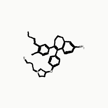 CCCCc1cc(C2=C(c3ccc(OC4CCN(CCCF)C4)cc3)c3ccc(N)cc3CCC2)ccc1C